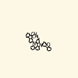 CC1(C)c2ccccc2-c2ccc(N(c3ccccc3)c3cccc4c3c3ccccc3n4-c3ccc4oc5ccccc5c4c3)cc21